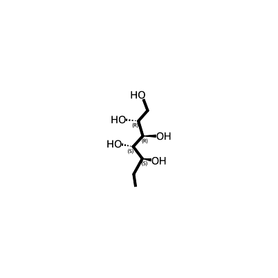 CC[C@H](O)[C@H](O)[C@H](O)[C@H](O)CO